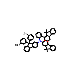 CC(C)(C)c1cccc(C2(c3cccc(C(C)(C)C)c3)c3ccccc3-c3ccc(N(c4ccc5c(c4)C(C)(C)c4ccccc4-5)c4ccccc4-c4cccc5c4C(C)(C)c4ccccc4-5)cc32)c1